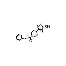 Cn1c(S)nnc1C1CCN(C(=O)OCc2ccccc2)CC1